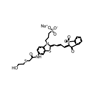 O=C(CSCCO)Nc1ccc2c(c1)SC(=CC=CC=C1C(=O)c3ccccc3S1(=O)=O)N2CCCS(=O)(=O)[O-].[Na+]